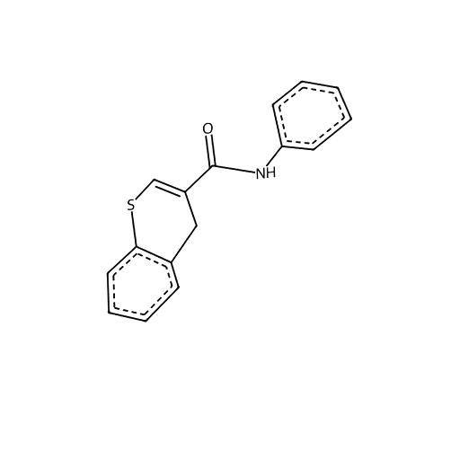 O=C(Nc1ccccc1)C1=CSc2ccccc2C1